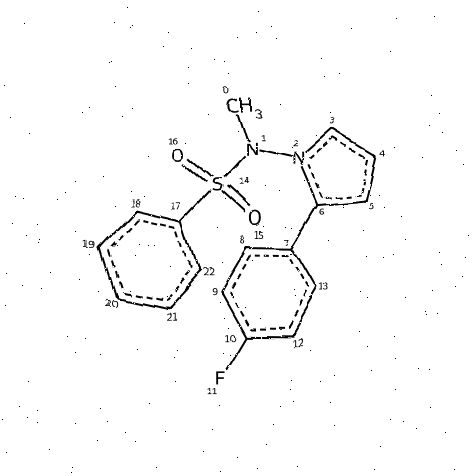 CN(n1cccc1-c1ccc(F)cc1)S(=O)(=O)c1ccccc1